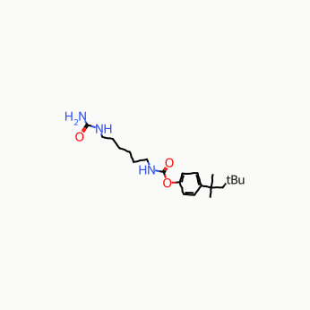 CC(C)(C)CC(C)(C)c1ccc(OC(=O)NCCCCCCNC(N)=O)cc1